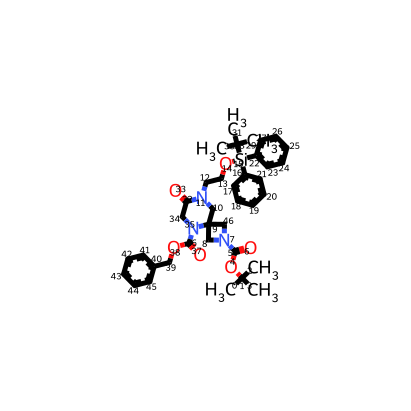 CC(C)(C)OC(=O)N1CC2(CN(CCO[Si](c3ccccc3)(c3ccccc3)C(C)(C)C)C(=O)CN2C(=O)OCc2ccccc2)C1